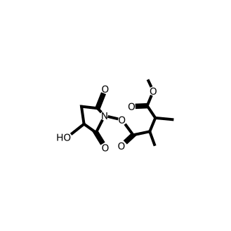 COC(=O)C(C)C(C)C(=O)ON1C(=O)CC(O)C1=O